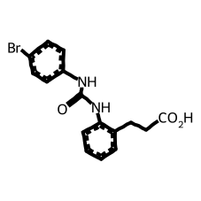 O=C(O)CCc1ccccc1NC(=O)Nc1ccc(Br)cc1